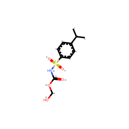 CC(C)c1ccc(S(=O)(=O)NC(=O)OCO)cc1